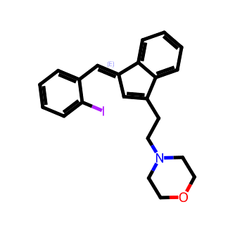 Ic1ccccc1/C=C1\C=C(CCN2CCOCC2)c2ccccc21